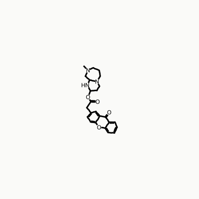 CN1CCCN2CCC(OC(=O)Cc3ccc4oc5ccccc5c(=O)c4c3)NC2C1